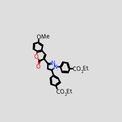 CCOC(=O)c1ccc(C2CC(c3cc4cc(OC)ccc4oc3=O)=NN2c2ccc(C(=O)OCC)cc2)cc1